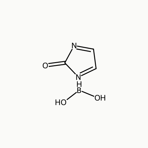 O=C1N=CC=N1.OBO